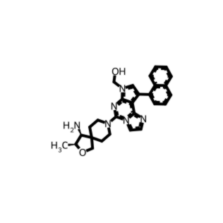 C[C@@H]1OCC2(CCN(c3nc4c(c(-c5cccc6ccccc56)cn4CO)c4nccn34)CC2)[C@@H]1N